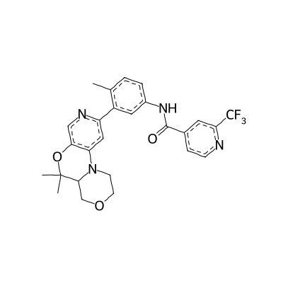 Cc1ccc(NC(=O)c2ccnc(C(F)(F)F)c2)cc1-c1cc2c(cn1)OC(C)(C)C1COCCN21